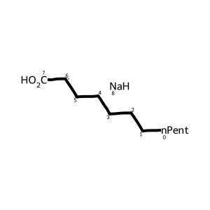 CCCCCCCCCC[CH]C(=O)O.[NaH]